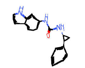 O=C(Nc1ccc2cc[nH]c2c1)N[C@@H]1C[C@H]1c1ccccc1